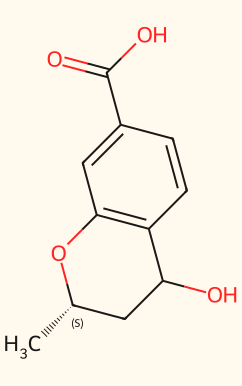 C[C@H]1CC(O)c2ccc(C(=O)O)cc2O1